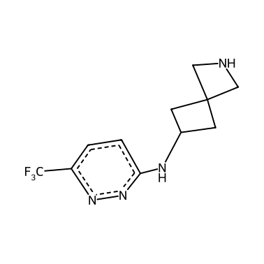 FC(F)(F)c1ccc(NC2CC3(CNC3)C2)nn1